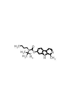 CCCCN(C(=O)Oc1ccc2c(c1)[nH]c1c(C)nccc12)C(C)(C)C